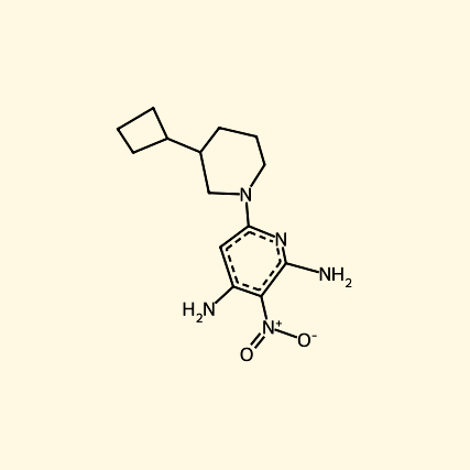 Nc1cc(N2CCCC(C3CCC3)C2)nc(N)c1[N+](=O)[O-]